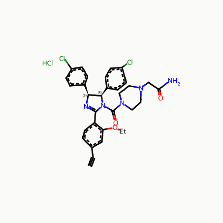 C#Cc1ccc(C2=N[C@@H](c3ccc(Cl)cc3)[C@@H](c3ccc(Cl)cc3)N2C(=O)N2CCN(CC(N)=O)CC2)c(OCC)c1.Cl